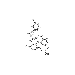 O=C(O)COc1ccc(Cl)cc1C1c2ccccc2CCN1C(=O)[C@@H]1C[C@H]1c1cccc(F)c1